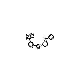 Cc1[nH]nnc1-c1ccnc(-c2cn([C@@H]3CCCN(C(=O)c4ccccc4)C3)cn2)c1